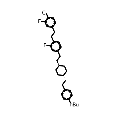 CCCCc1ccc(CC[C@H]2CC[C@H](CCc3ccc(CCc4ccc(Cl)c(F)c4)c(F)c3)CC2)cc1